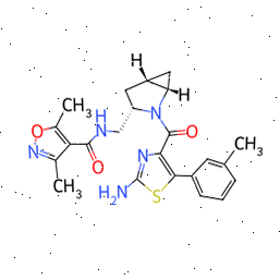 Cc1cccc(-c2sc(N)nc2C(=O)N2[C@H](CNC(=O)c3c(C)noc3C)C[C@@H]3C[C@@H]32)c1